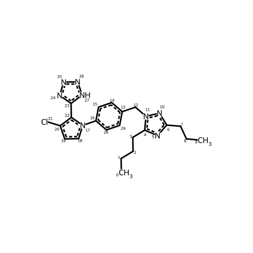 CCCCc1nc(CCC)nn1Cc1ccc(-n2ccc(Cl)c2-c2nnn[nH]2)cc1